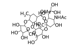 COC(=O)C1CC(C)C(OC2OC(C)C(O)C(O)C2O)C(OC2OC(CO)C(O)C(OC3(C)CC(O)C(NC(C)=O)C([C@H](O)[C@H](O)CO)O3)C2O)C1